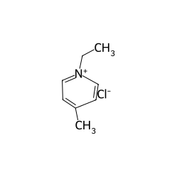 CC[n+]1ccc(C)cc1.[Cl-]